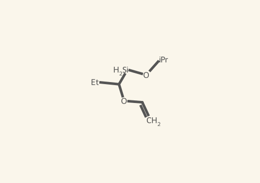 C=COC(CC)[SiH2]OC(C)C